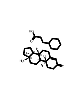 C[C@@]12CCC[C@H]1[C@@H]1CCC3=CC(=O)CC[C@@H]3[C@H]1CC2.O=C(O)CCC1CCCCC1